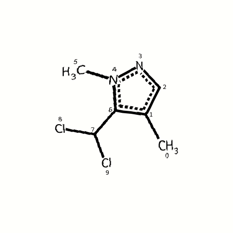 Cc1cnn(C)c1C(Cl)Cl